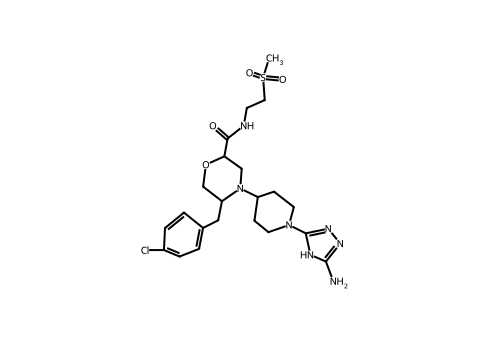 CS(=O)(=O)CCNC(=O)C1CN(C2CCN(c3nnc(N)[nH]3)CC2)C(Cc2ccc(Cl)cc2)CO1